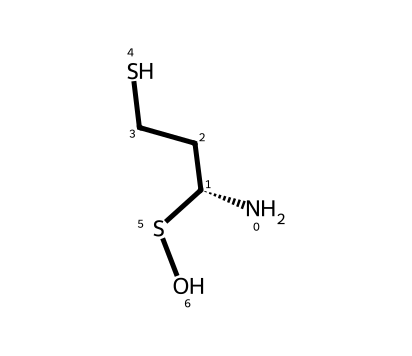 N[C@@H](CCS)SO